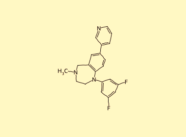 CN1CCN(c2cc(F)cc(F)c2)c2ccc(-c3cccnc3)cc2C1